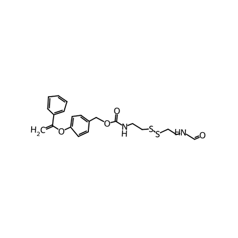 C=C(Oc1ccc(COC(=O)NCCSSCCNC=O)cc1)c1ccccc1